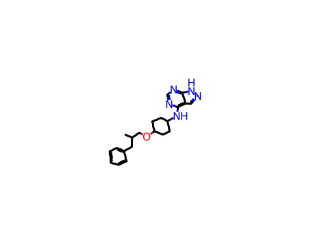 CC(COC1CCC(Nc2ncnc3[nH]ncc23)CC1)Cc1ccccc1